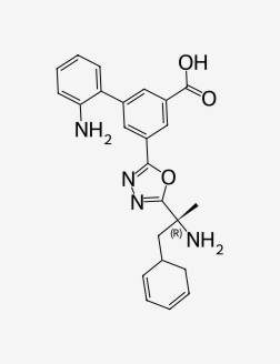 C[C@@](N)(CC1C=CC=CC1)c1nnc(-c2cc(C(=O)O)cc(-c3ccccc3N)c2)o1